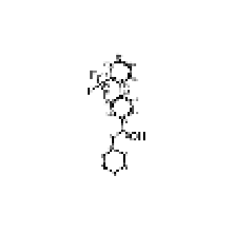 OC(CC1CCCCC1)c1ccc(-c2ccccc2C(F)(F)F)cc1